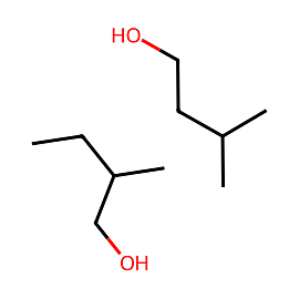 CC(C)CCO.CCC(C)CO